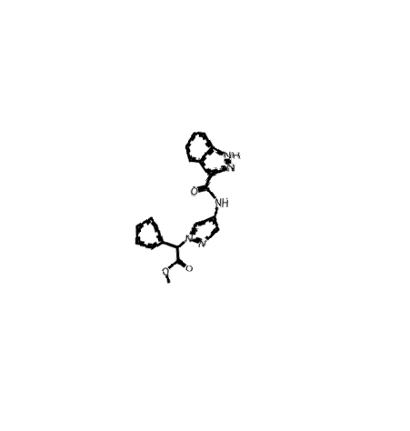 COC(=O)C(c1ccccc1)n1cc(NC(=O)c2n[nH]c3ccccc23)cn1